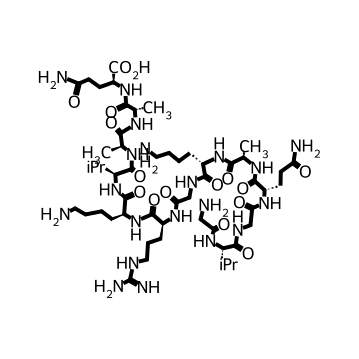 CC(C)[C@H](NC(=O)CN)C(=O)NCC(=O)N[C@@H](CCC(N)=O)C(=O)N[C@@H](C)C(=O)N[C@@H](CCCCN)C(=O)NCC(=O)N[C@@H](CCCNC(=N)N)C(=O)N[C@@H](CCCCN)C(=O)N[C@H](C(=O)N[C@@H](C)C(=O)N[C@@H](C)C(=O)N[C@@H](CCC(N)=O)C(=O)O)C(C)C